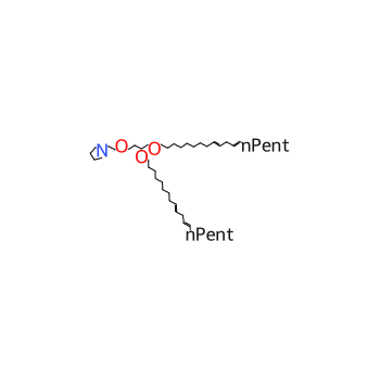 CCCCCC=CCC=CCCCCCCCCOCC(CCOCCN1CCCC1)OCCCCCCCCC=CCC=CCCCCC